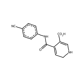 N#Cc1ccc(NC(=O)C2=CCNC=C2C(=O)O)cc1